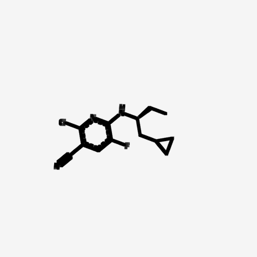 CC[C@@H](CC1CC1)Nc1nc(Cl)c(C#N)cc1F